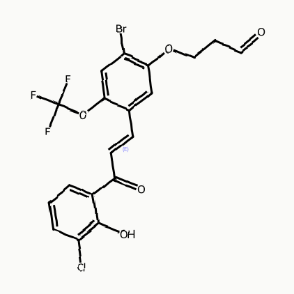 O=CCCOc1cc(/C=C/C(=O)c2cccc(Cl)c2O)c(OC(F)(F)F)cc1Br